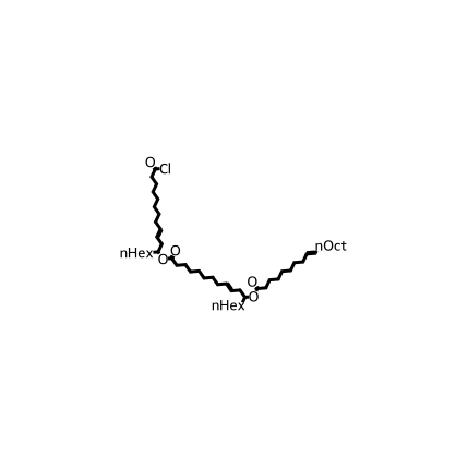 CCCCCCCC/C=C/CCCCCCCC(=O)OC(C/C=C/CCCCCCCC(=O)OC(C/C=C/CCCCCCCC(=O)Cl)CCCCCC)CCCCCC